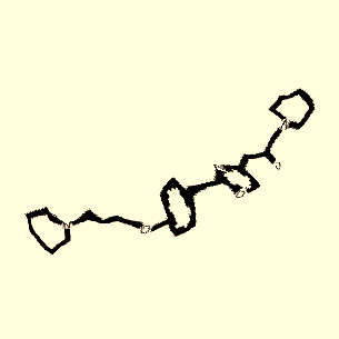 O=C(Cc1coc(-c2ccc(OCCCN3CCCCC3)cc2)n1)N1CCCCC1